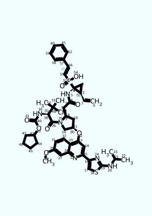 C=C[C@@H]1C[C@]1(NC(=O)CC1C[C@@H](Oc2cc(-c3csc(NC(C)C)n3)nc3cc(OC)ccc23)CN1C(=O)[C@@H](NC(=O)OC1CCCC1)C(C)(C)C)P(=O)(O)/C=C/c1ccccc1